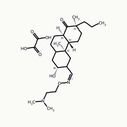 CCC[C@@]1(C)CC[C@H]2[C@@H](CCC3C[C@@H](O)C(/C=N\OCCN(C)C)C[C@@]32C)C1=O.O=C(O)C(=O)O